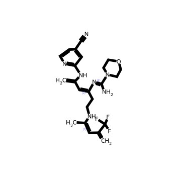 C=C(/C=C(CCN/C(C)=C\C(=C)C(F)(F)F)\N=C(/N)N1CCOCC1)Nc1cc(C#N)ccn1